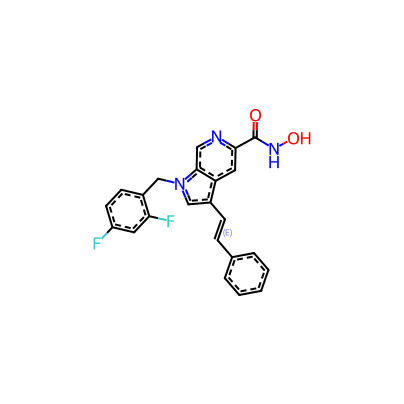 O=C(NO)c1cc2c(/C=C/c3ccccc3)cn(Cc3ccc(F)cc3F)c2cn1